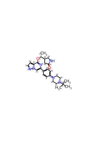 C[C@@H](Oc1nc(-c2ccc(N3CCN(C(C)(C)C)CC3)cc2)cn2nccc12)C1CNC(=O)C1